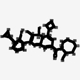 CC/C(C)=C(\C=C1\N=C(C(=O)N2CCCCCC2C)C=C(C2CCC2)N1C)c1cccc(C2CC2)c1F